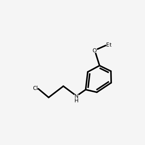 CCOc1cccc(NCCCl)c1